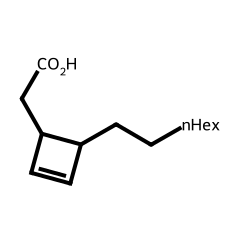 CCCCCCCCC1C=CC1CC(=O)O